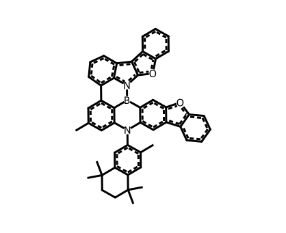 Cc1cc2c3c(c1)N(c1cc4c(cc1C)C(C)(C)CCC4(C)C)c1cc4c(cc1B3n1c3oc5ccccc5c3c3cccc-2c31)oc1ccccc14